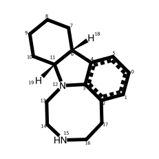 c1cc2c3c(c1)[C@H]1CCCC[C@H]1N3CCNCC2